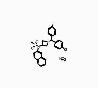 CS(=O)(=O)N(c1ccc2ncccc2c1)C1CN(C(c2ccc(Cl)cc2)c2ccc(Cl)cc2)C1.Cl.Cl